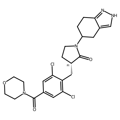 O=C(c1cc(Cl)c(C[C@@H]2CCN(C3CCc4n[nH]cc4C3)C2=O)c(Cl)c1)N1CCOCC1